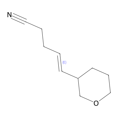 N#CCC/C=C/C1CCCOC1